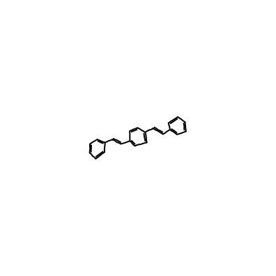 C(=C\c1ccc(/C=C/c2ccccc2)cc1)/c1ccccc1